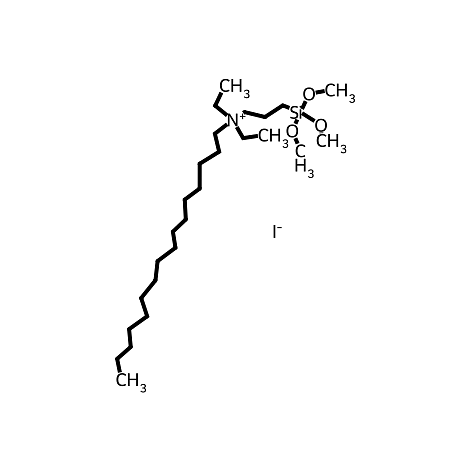 CCCCCCCCCCCCCCCC[N+](CC)(CC)CCC[Si](OC)(OC)OC.[I-]